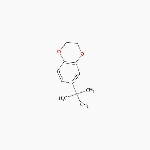 CC(C)(C)c1ccc2c(c1)OCCO2